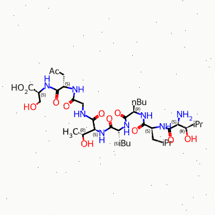 CCCC[C@@H](NC(=O)[C@H](CC(C)C)NC(=O)[C@@H](N)[C@H](O)C(C)C)C(=O)NC(C(=O)N[C@H](C(=O)NCC(=O)N[C@@H](CC(C)=O)C(=O)N[C@@H](CO)C(=O)O)[C@@H](C)O)[C@@H](C)CC